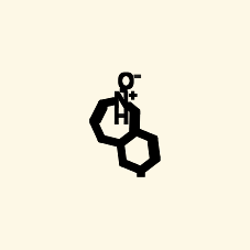 [O-][NH+]1C=CCC2C[C]C=CC2=C1